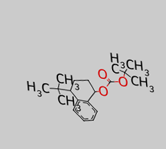 CC(C)(C)OC(=O)OC1CCC(C(C)(C)C)c2ccccc21